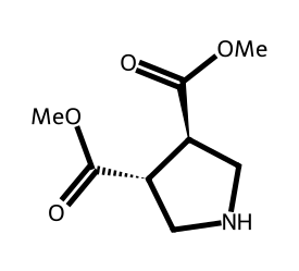 COC(=O)[C@H]1CNC[C@@H]1C(=O)OC